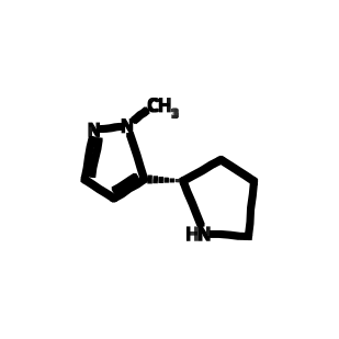 Cn1nccc1[C@@H]1CCCN1